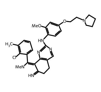 CN/C(=C1\C(=N)CCc2cnc(Nc3ccc(OCCN4CCCC4)cc3OC)nc21)c1cccc(C)c1Cl